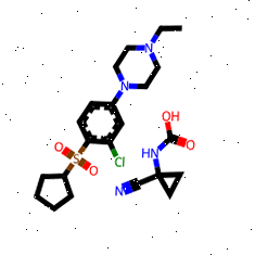 CCN1CCN(c2ccc(S(=O)(=O)C3CCCC3)c(Cl)c2)CC1.N#CC1(NC(=O)O)CC1